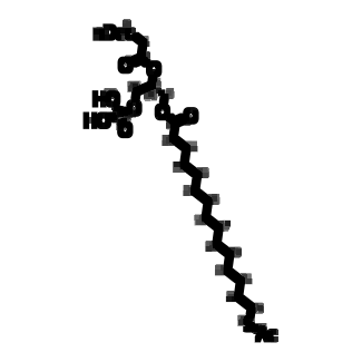 CCCCCCCCCCCC(=O)O[C@H](COC(=O)CCCCCCCCCCCCCCSC(C)=O)COP(=O)(O)O